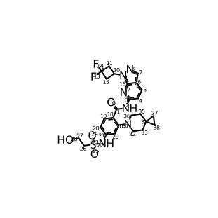 O=C(Nc1ccc2cnn(C3CC(F)(F)C3)c2n1)c1ccc(NS(=O)(=O)CCO)cc1N1CCC2(CC1)CC2